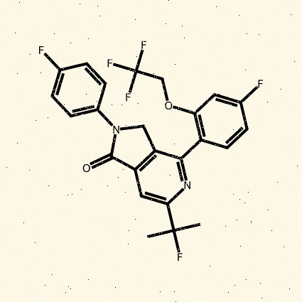 CC(C)(F)c1cc2c(c(-c3ccc(F)cc3OCC(F)(F)F)n1)CN(c1ccc(F)cc1)C2=O